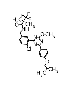 COc1nc(-c2ccc(OCC(C)C)cc2)nc(-c2cc(CNC(=O)C(C)(C)C(F)(F)F)ccc2Cl)n1